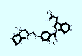 Cc1cc(OC[C@@H]2CN(C)c3ccccc3O2)ccc1C(=O)n1cc(CC(=O)O)c2ccccc21